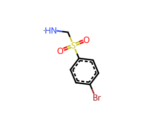 [NH]CS(=O)(=O)c1ccc(Br)cc1